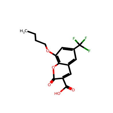 CCCCOc1cc(C(F)(F)F)cc2cc(C(=O)O)c(=O)oc12